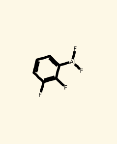 Fc1ccc[c]([Al]([F])[F])c1F